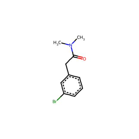 CN(C)C(=O)Cc1cccc(Br)c1